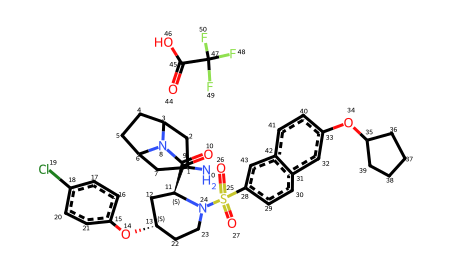 NC1CC2CCC(C1)N2C(=O)[C@@H]1C[C@@H](Oc2ccc(Cl)cc2)CCN1S(=O)(=O)c1ccc2cc(OC3CCCC3)ccc2c1.O=C(O)C(F)(F)F